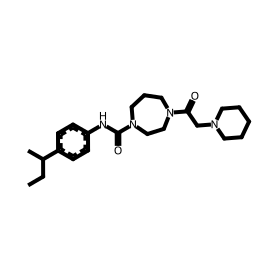 CCC(C)c1ccc(NC(=O)N2CCCN(C(=O)CN3CCCCC3)CC2)cc1